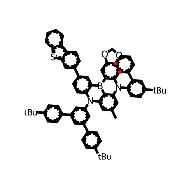 Cc1cc2c3c(c1)N(c1ccc(C(C)(C)C)cc1-c1ccccc1)c1cc4c(cc1B3c1cc(-c3ccc5c(c3)sc3ccccc35)ccc1N2c1cc(-c2ccc(C(C)(C)C)cc2)cc(-c2ccc(C(C)(C)C)cc2)c1)OCO4